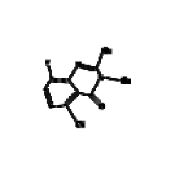 CC(C)(C)c1nc2c(F)ccc(C#N)c2c(=O)n1C(C)(C)C